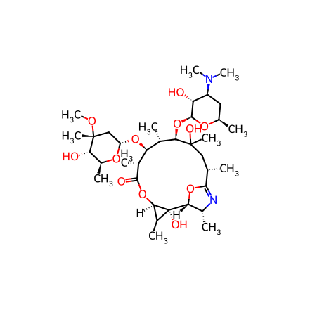 CO[C@]1(C)C[C@H](O[C@H]2[C@H](C)[C@@H](O[C@@H]3O[C@H](C)C[C@H](N(C)C)[C@H]3O)C(C)(O)C[C@H](C)C3=N[C@H](C)[C@@H](O3)[C@@]3(O)C(C)[C@H]3OC(=O)[C@@H]2C)O[C@@H](C)[C@@H]1O